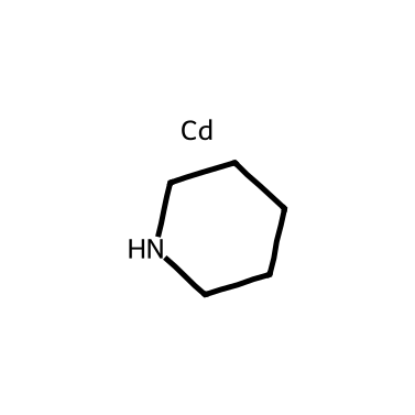 C1CCNCC1.[Cd]